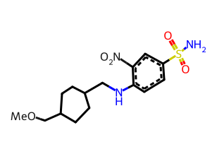 COCC1CCC(CNc2ccc(S(N)(=O)=O)cc2[N+](=O)[O-])CC1